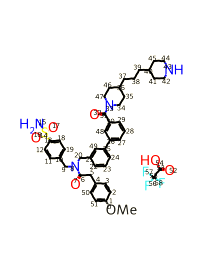 COc1ccc(CC(=O)N(Cc2ccc(S(N)(=O)=O)cc2)Cc2cccc(-c3cccc(C(=O)N4CCC(CCCC5CCNCC5)CC4)c3)c2)cc1.O=C(O)C(F)(F)F